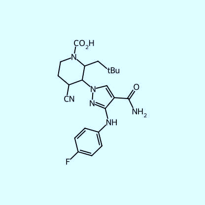 CC(C)(C)CC1C(n2cc(C(N)=O)c(Nc3ccc(F)cc3)n2)C(C#N)CCN1C(=O)O